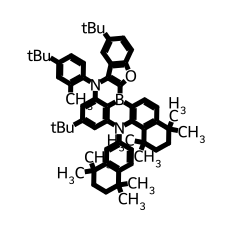 Cc1cc(C(C)(C)C)ccc1N1c2cc(C(C)(C)C)cc3c2B(c2ccc4c(c2N3c2ccc3c(c2)C(C)(C)CCC3(C)C)C(C)(C)CCC4(C)C)c2oc3ccc(C(C)(C)C)cc3c21